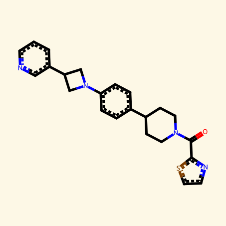 O=C(c1nccs1)N1CCC(c2ccc(N3CC(c4cccnc4)C3)cc2)CC1